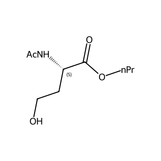 CCCOC(=O)[C@H](CCO)NC(C)=O